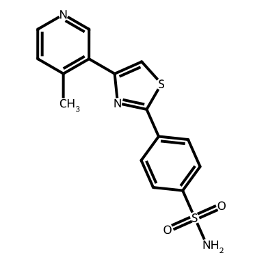 Cc1ccncc1-c1csc(-c2ccc(S(N)(=O)=O)cc2)n1